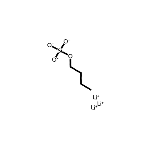 CCCCO[Si]([O-])([O-])[O-].[Li+].[Li+].[Li+]